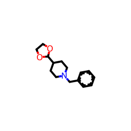 c1ccc(CN2CCC(C3OCCO3)CC2)cc1